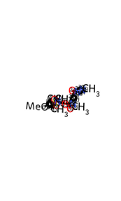 COc1cc(C)c(S(=O)(=O)N(C)CCOCC(=O)N(C)[C@H]2CC[C@@H](C(=O)N3CCN(C)CC3)CC2)c(C)c1